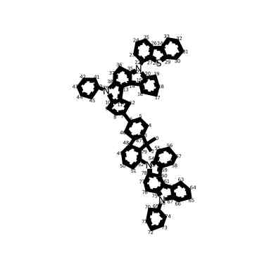 CC1(C)c2ccc(-c3ccc4c(c3)c3c5c6ccccc6n(-c6cccc7c6sc6ccccc67)c5ccc3n4-c3ccccc3)cc2-c2cccc(-n3c4ccccc4c4c5c6ccccc6n(-c6ccccc6)c5ccc43)c21